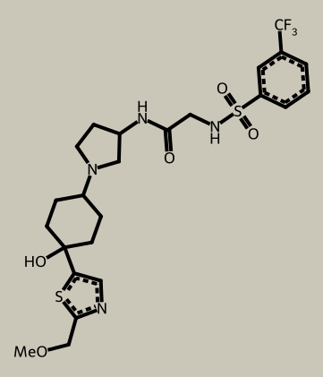 COCc1ncc(C2(O)CCC(N3CCC(NC(=O)CNS(=O)(=O)c4cccc(C(F)(F)F)c4)C3)CC2)s1